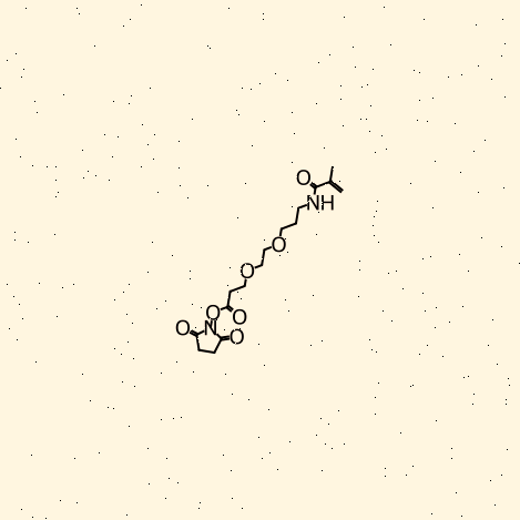 C=C(C)C(=O)NCCCOCCOCCC(=O)ON1C(=O)CCC1=O